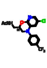 CC(=O)NC[C@@H]1CN(c2ccc(C(F)(F)F)cc2)c2cc(Cl)cnc2O1